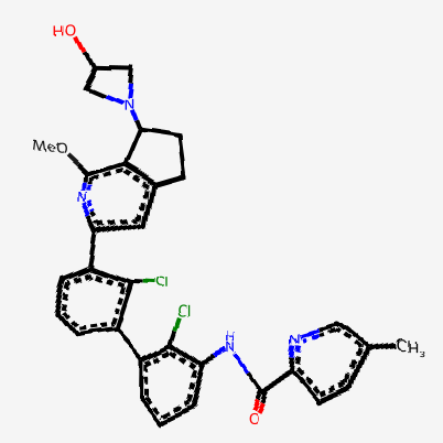 COc1nc(-c2cccc(-c3cccc(NC(=O)c4ccc(C)cn4)c3Cl)c2Cl)cc2c1C(N1CC(O)C1)CC2